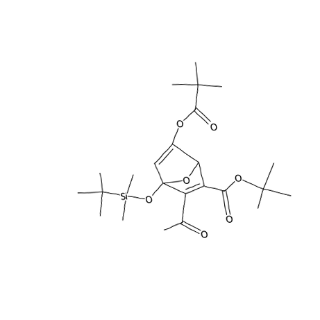 CC(=O)C1=C(C(=O)OC(C)(C)C)C2OC1(O[Si](C)(C)C(C)(C)C)C=C2OC(=O)C(C)(C)C